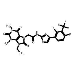 CCn1c(=O)n(CC(=O)Nc2nc(-c3ccc(F)c(C(F)(F)F)c3F)cs2)c2c(=O)n(C)c(=O)n(C)c21